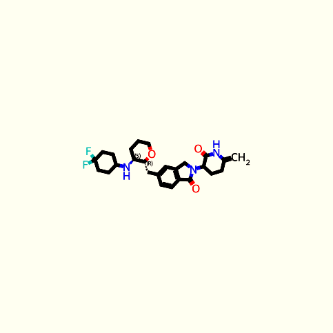 C=C1CCC(N2Cc3cc(C[C@H]4OCCC[C@@H]4NC4CCC(F)(F)CC4)ccc3C2=O)C(=O)N1